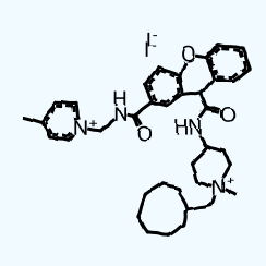 Cc1cc[n+](CNC(=O)c2ccc3c(c2)C(C(=O)NC2CC[N+](C)(CC4CCCCCCC4)CC2)c2ccccc2O3)cc1.[I-].[I-]